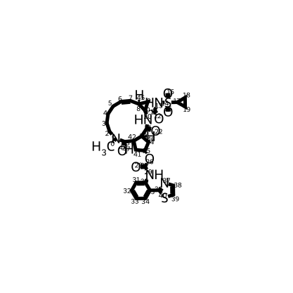 CN1CCCC/C=C\[C@@H]2C[C@@]2(C(=O)NS(=O)(=O)C2CC2)NC(=O)[C@@H]2C[C@@H](OC(=O)Nc3ccccc3-c3nccs3)C[C@H]2C1=O